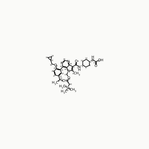 Cc1c(C(=O)N[C@H]2CC[C@@H](NC(=O)O)CC2)c2ncnc(-c3cc(C(C)C)ccc3OCC3CC3)c2n1COCC[Si](C)(C)C